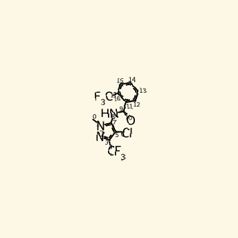 Cn1nc(C(F)(F)F)c(Cl)c1NC(=O)c1ccccc1C(F)(F)F